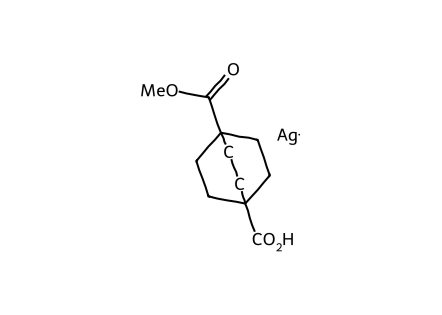 COC(=O)C12CCC(C(=O)O)(CC1)CC2.[Ag]